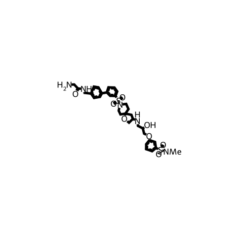 CNS(=O)(=O)c1cccc(OCC(O)CNC2COC3(CCN(S(=O)(=O)c4cccc(-c5ccc(CNC(=O)CN)cc5)c4)CC3)C2)c1